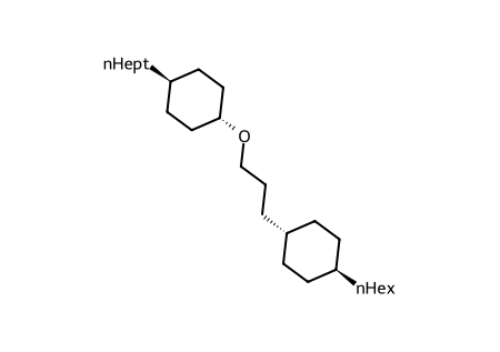 CCCCCCC[C@H]1CC[C@H](OCCC[C@H]2CC[C@H](CCCCCC)CC2)CC1